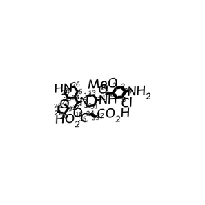 COc1cc(N)c(Cl)cc1C(=O)NC1CCN(C(C(=O)[C@@H]2CCCO2)C2CCNCC2)CC1.O=C(O)/C=C/C(=O)O